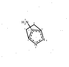 Nn1c2nnc1CC2